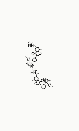 Cc1cc([C@H](C)NC2(C)CC([n+]3cn(C)c(C4(c5cccc(-c6coc7c(C)cc([C@@H](C)NC8(C)CCC8)cc7c6=O)c5)CC(C)C4)n3)C2)cc2c(=O)c(-c3cccc(C4(c5nncn5C)CC(C)C4)c3)coc12